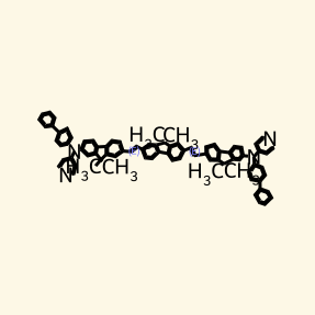 CC1(C)c2cc(/C=C/c3ccc4c(c3)C(C)(C)c3cc(N(c5ccncc5)c5ccc(-c6ccccc6)cc5)ccc3-4)ccc2-c2ccc(/C=C/c3ccc4c(c3)C(C)(C)c3cc(N(c5ccncc5)c5ccc(-c6ccccc6)cc5)ccc3-4)cc21